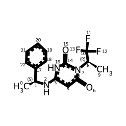 C[C@H](Nc1cc(=O)n([C@H](C)C(F)(F)F)c(=O)[nH]1)c1ccccc1